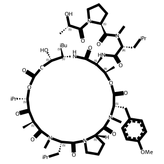 CC[C@H](C)[C@@H]1NC(=O)[C@@H](NC(=O)[C@@H](CC(C)C)N(C)C(=O)[C@@H]2CCCN2C(=O)[C@H](C)O)[C@@H](C)OC(=O)[C@H](Cc2ccc(OC)cc2)N(C)C(=O)[C@@H]2CCCN2C(=O)[C@H](CC(C)C)N(C)C(=O)[C@@H](C)C(=O)[C@H](C(C)C)OC(=O)C[C@@H]1O